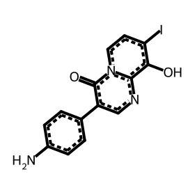 Nc1ccc(-c2cnc3c(O)c(I)ccn3c2=O)cc1